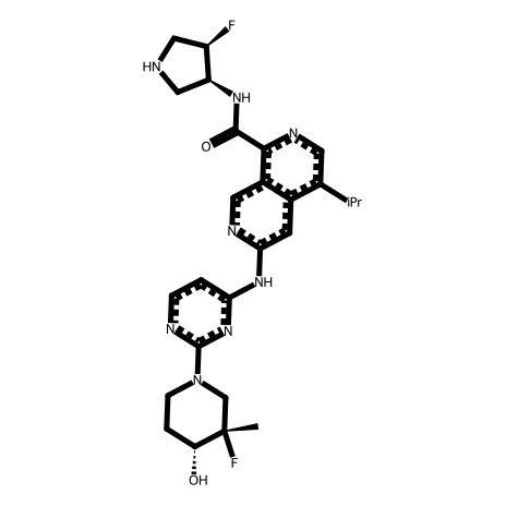 CC(C)c1cnc(C(=O)N[C@H]2CNC[C@H]2F)c2cnc(Nc3ccnc(N4CC[C@@H](O)[C@@](C)(F)C4)n3)cc12